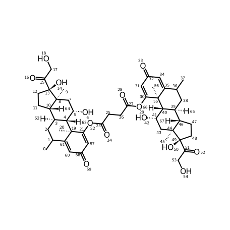 CC1C[C@@H]2[C@H]([C@@H](O)C[C@@]3(C)[C@H]2CC[C@]3(O)C(=O)CO)[C@@]2(C)C(OC(=O)CCC(=O)OC3=CC(=O)C=C4C(C)C[C@@H]5[C@H]([C@@H](O)C[C@@]6(C)[C@H]5CC[C@]6(O)C(=O)CO)[C@@]34C)=CC(=O)C=C12